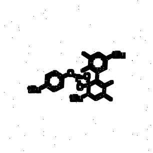 CC1=C[C@@H](C(C)(C)C)C2(OP(Oc3ccc(C(C)(C)C)cc3)O2)C(c2cc(C(C)(C)C)cc(C)c2C)=C1C